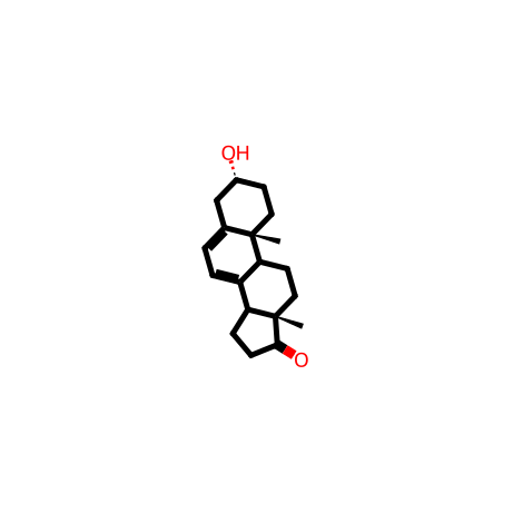 C[C@]12CC[C@@H](O)CC1=CC=C1C2CC[C@]2(C)C(=O)CCC12